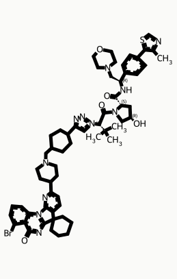 Cc1ncsc1-c1ccc([C@H](CN2CCOCC2)NC(=O)[C@@H]2C[C@@H](O)CN2C(=O)[C@@H](n2cc(C3CCC(CN4CCC(c5ccc6c(n5)-n5c(nc(=O)c7c(Br)cccc75)C65CCCCC5)CC4)CC3)nn2)C(C)(C)C)cc1